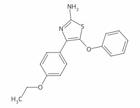 CCOc1ccc(-c2nc(N)sc2Oc2ccccc2)cc1